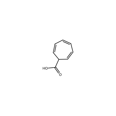 O=C(O)C1C=CC=CC=C1